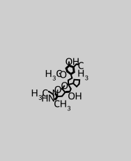 CCc1nc(CC2=C(O)CC(CCc3cc(CC)c(O)cc3OC)(C3CCCC3)OC2=O)c(C)[nH]1